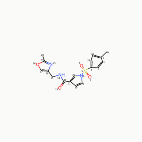 Cc1ccc(S(=O)(=O)n2ccc(C(=O)NCc3coc(C)n3)c2)cc1